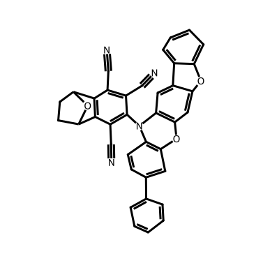 N#Cc1c(C#N)c(N2c3ccc(-c4ccccc4)cc3Oc3cc4oc5ccccc5c4cc32)c(C#N)c2c1C1CCC2O1